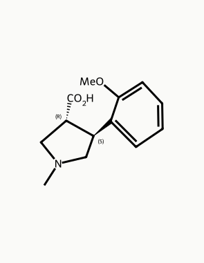 COc1ccccc1[C@H]1CN(C)C[C@@H]1C(=O)O